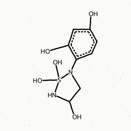 Oc1ccc(N2CC(O)NS2(O)O)c(O)c1